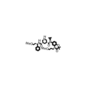 COCCCN1C(=O)C(C)(C)Oc2ccc(N(C(=O)[C@H]3CNC[C@@H](C(=O)N[C@H](CCOC)c4ccccc4)C3)C3CC3)cc21